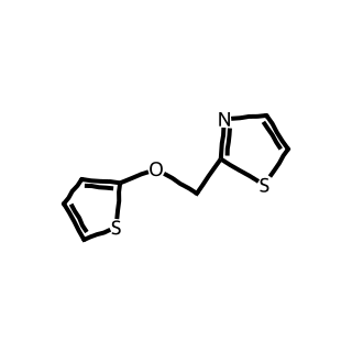 c1csc(OCc2nccs2)c1